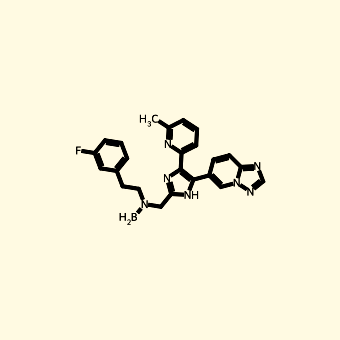 BN(CCc1cccc(F)c1)Cc1nc(-c2cccc(C)n2)c(-c2ccc3ncnn3c2)[nH]1